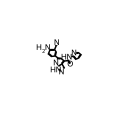 N#Cc1cc(-c2cc(C(=O)Nc3ccccn3)c3cn[nH]c3n2)ccc1N